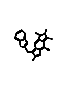 CC1=Cc2c(Br)c3c(cc2=C1CC1=Cc2ccccc2C1)N(C)C(C)C=3C